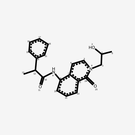 CC(O)Cn1ccc2c(NC(=O)C(C)c3ccccc3)cccc2c1=O